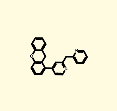 c1ccc(Cc2cc(-c3cccc4c3Cc3ccccc3O4)ccn2)nc1